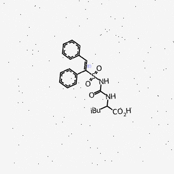 CCC(C)C(NC(=O)NS(=O)(=O)/C(=C/c1ccccc1)c1ccccc1)C(=O)O